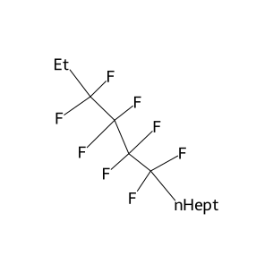 CCCCCCCC(F)(F)C(F)(F)C(F)(F)C(F)(F)CC